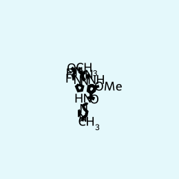 COc1cc(C(=O)NCCN2CCN(C)CC2)ccc1Nc1ncc2c(n1)N(C1CCCC1)CC(F)(F)C(=O)N2C